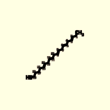 CCC=CCC=CCC=CCC=CCC=CCCCCS